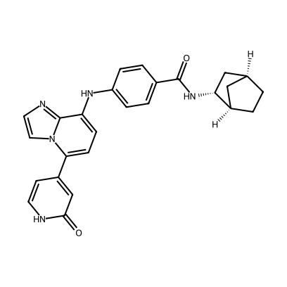 O=C(N[C@@H]1C[C@H]2CC[C@@H]1C2)c1ccc(Nc2ccc(-c3cc[nH]c(=O)c3)n3ccnc23)cc1